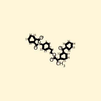 CC(C(=O)OCCc1ccc(N2C(=O)c3ccccc3C2=O)cc1)c1cccc(C(=O)c2ccccc2)c1